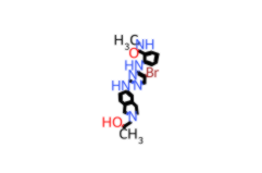 CNC(=O)c1ccccc1Nc1nc(Nc2ccc3c(c2)CCN(CC(C)O)C3)ncc1Br